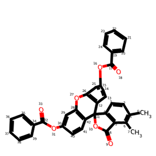 Cc1ccc2c(c1C)C(=O)OC21c2ccc(OC(=O)c3ccccc3)cc2Oc2cc(OC(=O)c3ccccc3)ccc21